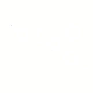 CC(C)(C)c1ccc(-c2nc(NC(=O)c3ccc([N+](=O)[O-])s3)sc2-c2ccccc2F)cc1